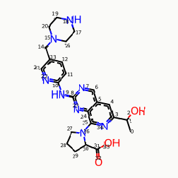 CC(O)c1cc2cnc(Nc3ccc(CN4CCNCC4)cn3)nc2c(N2CCCC2C(=O)O)n1